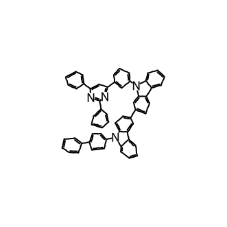 c1ccc(-c2ccc(-n3c4ccccc4c4cc(-c5ccc6c7ccccc7n(-c7cccc(-c8cc(-c9ccccc9)nc(-c9ccccc9)n8)c7)c6c5)ccc43)cc2)cc1